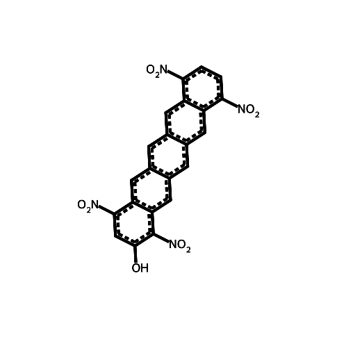 O=[N+]([O-])c1ccc([N+](=O)[O-])c2cc3cc4cc5c([N+](=O)[O-])c(O)cc([N+](=O)[O-])c5cc4cc3cc12